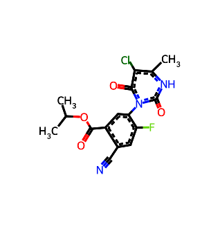 Cc1[nH]c(=O)n(-c2cc(C(=O)OC(C)C)c(C#N)cc2F)c(=O)c1Cl